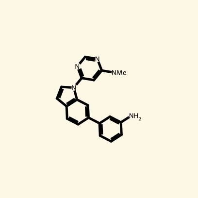 CNc1cc(-n2ccc3ccc(-c4cccc(N)c4)cc32)ncn1